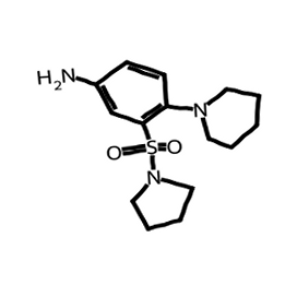 Nc1ccc(N2CCCCC2)c(S(=O)(=O)N2CCCC2)c1